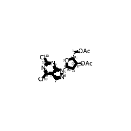 CC(=O)OC[C@H]1O[C@@H](n2ncc3c(Cl)nc(Cl)nc32)C[C@@H]1OC(C)=O